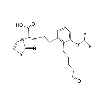 O=CCCCCc1c(/C=C/c2nc3sccn3c2C(=O)O)cccc1OC(F)F